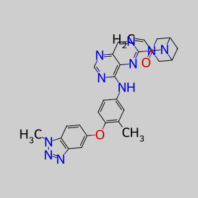 C=CC(=O)N1C2CC1CN(c1ncc3ncnc(Nc4ccc(Oc5ccc6c(c5)nnn6C)c(C)c4)c3n1)C2